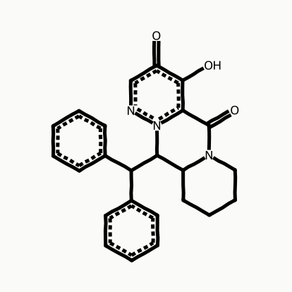 O=C1c2c(O)c(=O)cnn2C(C(c2ccccc2)c2ccccc2)C2CCCCN12